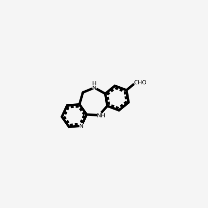 O=Cc1ccc2c(c1)NCc1cccnc1N2